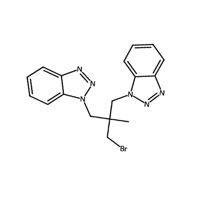 CC(CBr)(Cn1nnc2ccccc21)Cn1nnc2ccccc21